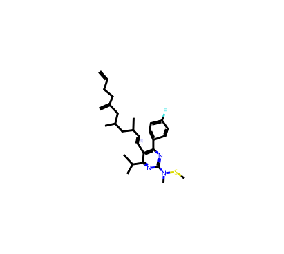 C=CCCC(=C)CC(C)CC(C)/C=C/c1c(-c2ccc(F)cc2)nc(N(C)SC)nc1C(C)C